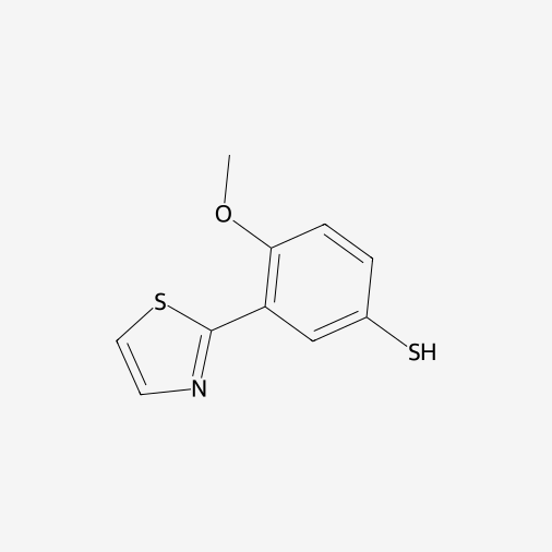 COc1ccc(S)cc1-c1nccs1